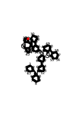 c1ccc(N(c2ccccc2)c2cccc(-c3ccc(N(c4ccc5c(c4)-c4ccccc4C54c5ccccc5Oc5ccccc54)c4cccc5c4sc4ccccc45)cc3)c2)cc1